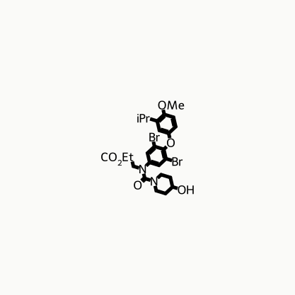 CCOC(=O)CN(C(=O)N1CCC(O)CC1)c1cc(Br)c(Oc2ccc(OC)c(C(C)C)c2)c(Br)c1